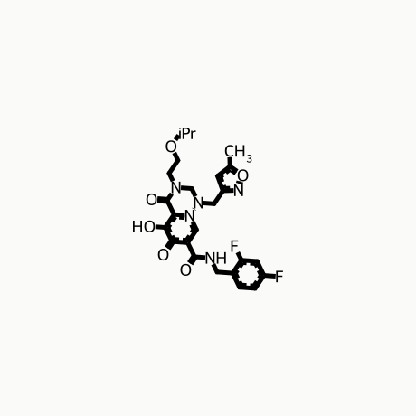 Cc1cc(CN2CN(CCOC(C)C)C(=O)c3c(O)c(=O)c(C(=O)NCc4ccc(F)cc4F)cn32)no1